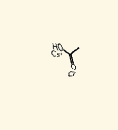 CC(=O)O.[Cl-].[Cs+]